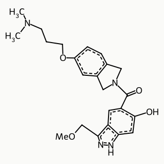 COCc1n[nH]c2cc(O)c(C(=O)N3Cc4ccc(OCCCN(C)C)cc4C3)cc12